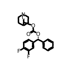 O=C(OC1CN2CCC1CC2)O[C@H](c1ccccc1)c1ccc(F)c(F)c1